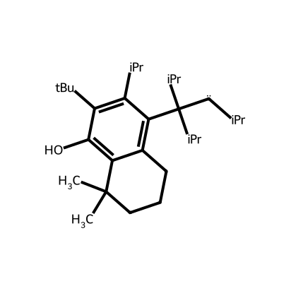 CC(C)[C]C(c1c2c(c(O)c(C(C)(C)C)c1C(C)C)C(C)(C)CCC2)(C(C)C)C(C)C